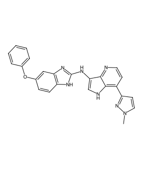 Cn1ccc(-c2ccnc3c(Nc4nc5cc(Oc6ccccc6)ccc5[nH]4)c[nH]c23)n1